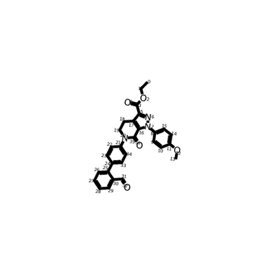 CCOC(=O)c1nn(-c2ccc(OC)cc2)c2c1CCN(c1ccc(-c3ccccc3C=O)cc1)C2=O